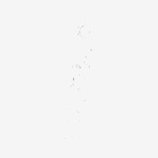 O=C(CC1CC1)N1CCC(c2ccc(NC(=O)N3CC(c4cccnn4)C3)cc2)CC1